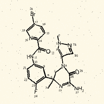 Cn1cc(N2CC(C)(c3cc(NC(=O)c4ccc(Br)cn4)ccc3F)N=C(N)C2=O)cn1